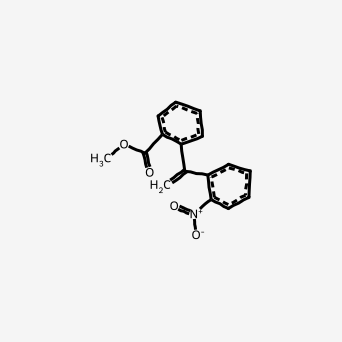 C=C(c1ccccc1C(=O)OC)c1ccccc1[N+](=O)[O-]